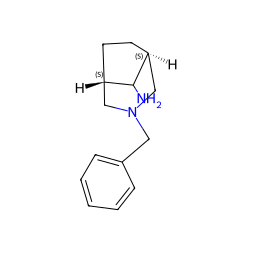 NC1[C@H]2CC[C@H]1CN(Cc1ccccc1)C2